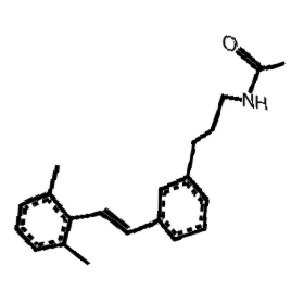 CC(=O)NCCCc1cccc(C=Cc2c(C)cccc2C)c1